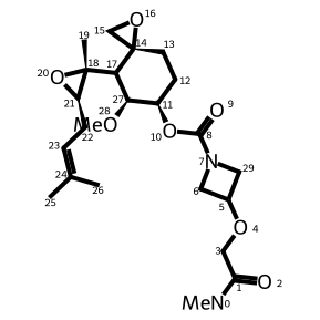 CNC(=O)COC1CN(C(=O)O[C@@H]2CC[C@]3(CO3)C([C@@]3(C)O[C@@H]3CC=C(C)C)[C@@H]2OC)C1